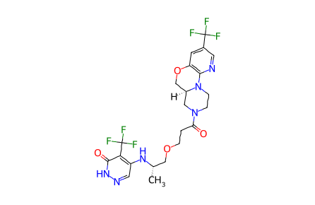 C[C@@H](COCCC(=O)N1CCN2c3ncc(C(F)(F)F)cc3OC[C@@H]2C1)Nc1cn[nH]c(=O)c1C(F)(F)F